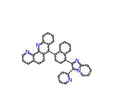 c1ccc(-c2c(-c3ccc(-c4c5ccccc5nc5c4ccc4cccnc45)c4ccccc34)nc3ccccn23)nc1